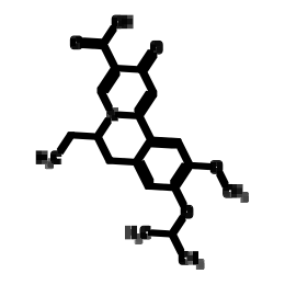 CCC1Cc2cc(OC(C)C)c(OC)cc2-c2cc(=O)c(C(=O)O)cn21